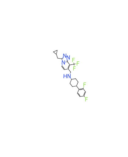 Fc1ccc(C2CCC(NCc3ccn4c(CC5CC5)nnc4c3C(F)(F)F)CC2)c(F)c1